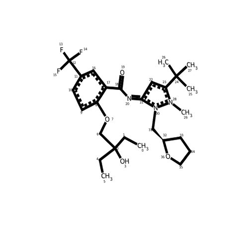 CCC(O)(CC)COc1ccc(C(F)(F)F)cc1C(=O)N=c1cc(C(C)(C)C)n(C)n1C[C@H]1CCCO1